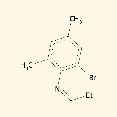 CC/C=N\c1c(C)cc(C)cc1Br